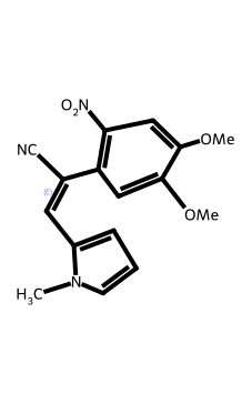 COc1cc(/C(C#N)=C\c2cccn2C)c([N+](=O)[O-])cc1OC